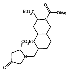 CCOC(=O)C1CC2CC(CN3CC(=O)C[C@@H]3C(=O)OCC)CCC2CN1C(=O)OC